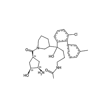 CC(=O)NCCCC(O)(c1cccc(Cl)c1-c1cccc(C)c1)C1CCCN(C(=O)[C@H]2C[C@@H](N)[C@@H](O)C2)C1